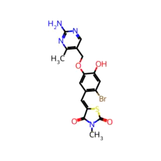 Cc1nc(N)ncc1COc1cc(/C=C2\SC(=O)N(C)C2=O)c(Br)cc1O